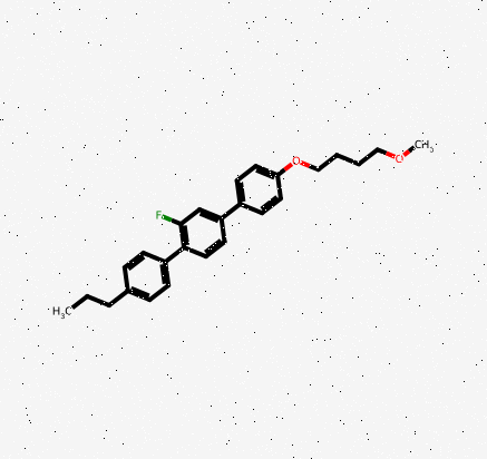 CCCc1ccc(-c2ccc(-c3ccc(OCCCCOC)cc3)cc2F)cc1